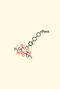 C=C(CO)C(=O)OCC(COC(=O)C(=C)CO)c1ccc(C2CCC(C3CCC(CCCCC)CC3)CC2)c(F)c1F